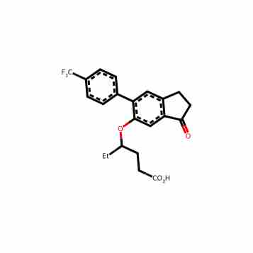 CCC(CCC(=O)O)Oc1cc2c(cc1-c1ccc(C(F)(F)F)cc1)CCC2=O